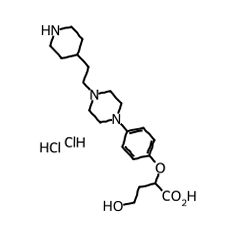 Cl.Cl.O=C(O)C(CCO)Oc1ccc(N2CCN(CCC3CCNCC3)CC2)cc1